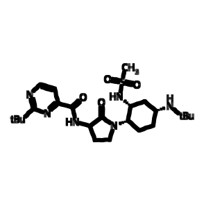 CC(C)(C)N[C@@H]1CC[C@H](N2CCC(NC(=O)c3ccnc(C(C)(C)C)n3)C2=O)[C@H](NS(C)(=O)=O)C1